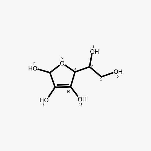 OCC(O)C1OC(O)C(O)=C1O